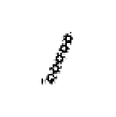 c1ccc(-c2ccc(-c3ccc(-c4ccc(C5CCNCC5)cc4)cc3)cc2)cc1